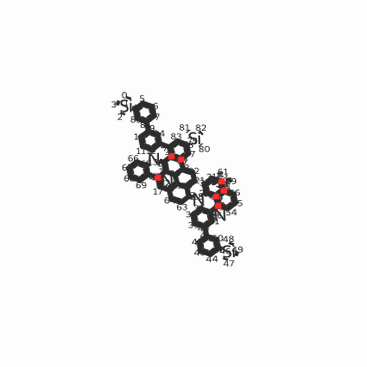 C[Si](C)(C)c1cccc(-c2ccc(N(C3=C4C=CC5=C6C(=CC=C(C=C3)C46)C(N(c3ccccc3C#N)c3ccc(-c4cccc([Si](C)(C)C)c4)cc3-c3cccc([Si](C)(C)C)c3)C=C5)c3ccccc3C#N)c(-c3cccc([Si](C)(C)C)c3)c2)c1